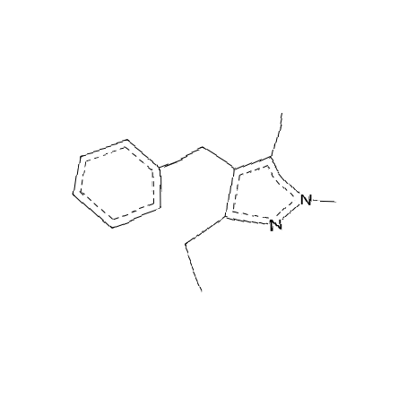 CCc1nn(C)c(C)c1Cc1ccccc1